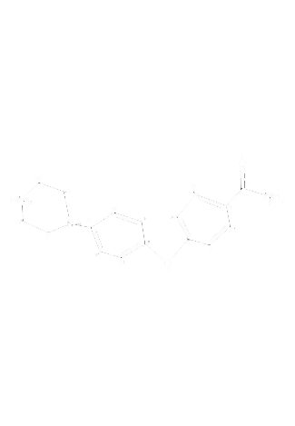 NC(=O)c1ccc(Oc2ccc(N3CCNCC3)cc2)cn1